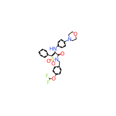 O=C1C(Nc2ccc(N3CCOCC3)cc2)=C(c2ccccc2)S(=O)(=O)N1Cc1ccc(OC(F)F)cc1